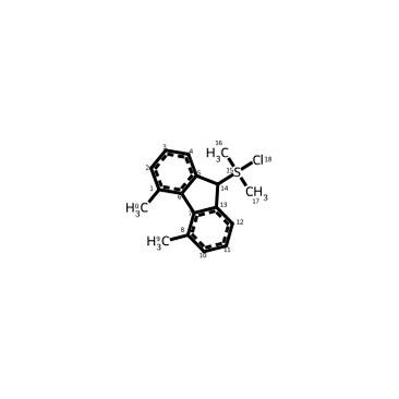 Cc1cccc2c1-c1c(C)cccc1C2S(C)(C)Cl